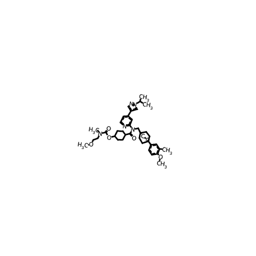 COCCN(C)C(=O)OC1CCC(C(=O)N(CC23CCC(c4ccc(OC)c(C)c4)(CC2)CC3)c2cc(-c3cnn(C(C)C)c3)ccn2)CC1